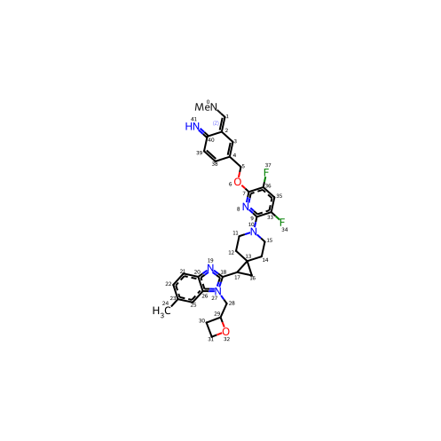 CN/C=C1/C=C(COc2nc(N3CCC4(CC3)CC4c3nc4ccc(C)cc4n3CC3CCO3)c(F)cc2F)C=CC1=N